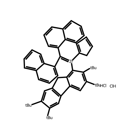 CC(C)(C)c1cc2c(cc1C(C)(C)C)-c1cc(C(C)(C)C)c(C(C)(C)C)[c]([Zr]([C]3=CC=CC3)=[C](c3cccc4ccccc34)c3cccc4ccccc34)c1C2.Cl.Cl